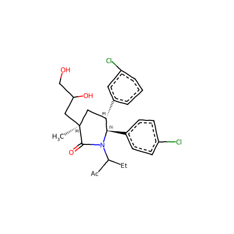 CCC(C(C)=O)N1C(=O)[C@@](C)(CC(O)CO)C[C@H](c2cccc(Cl)c2)[C@H]1c1ccc(Cl)cc1